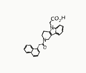 O=C(O)Cn1c2c(c3ccccc31)CN(C(=O)Cc1cccc3ccccc13)CC2